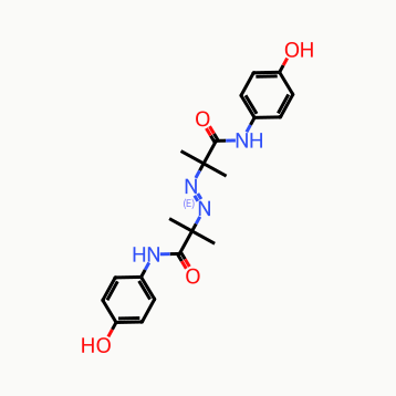 CC(C)(/N=N/C(C)(C)C(=O)Nc1ccc(O)cc1)C(=O)Nc1ccc(O)cc1